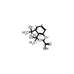 CCC(C)(C)c1cccc(OCC([NH])=O)c1C(C)(C)CC